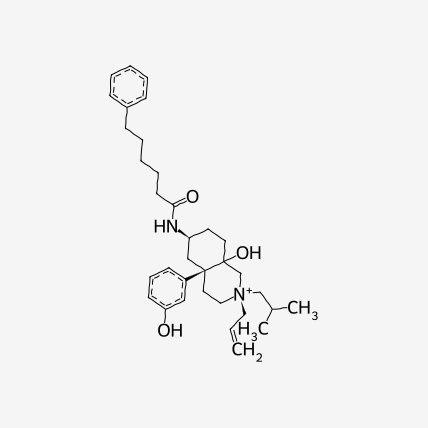 C=CC[N@@+]1(CC(C)C)CC[C@]2(c3cccc(O)c3)C[C@@H](NC(=O)CCCCCc3ccccc3)CCC2(O)C1